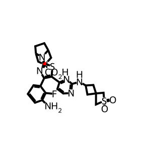 Nc1cccc(-c2nc(N3C4CCC3CN(C(=O)O)C4)sc2-c2ccnc(NC3CC4(C3)CS(=O)(=O)C4)n2)c1F